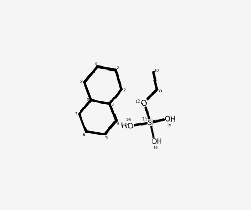 C1CCC2CCCCC2C1.CCO[Si](O)(O)O